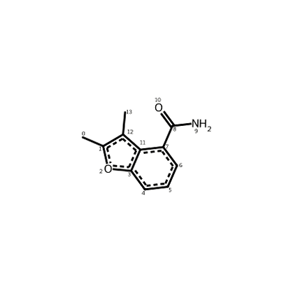 Cc1oc2cccc(C(N)=O)c2c1C